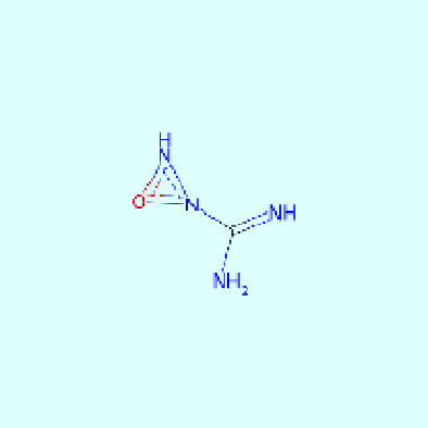 N=C(N)n1[nH]o1